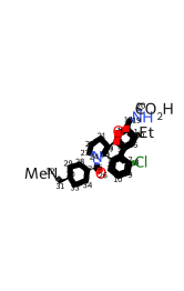 CCc1cccc(-c2c(Cl)cccc2[C@H]2[C@H](COCCNC(=O)O)CCCN2C(=O)[C@H]2CC[C@H](CNC)CC2)c1